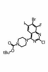 CC(C)(C)OC(=O)N1CCN(c2nc(Cl)nc3c(F)c(Br)c(I)cc23)CC1